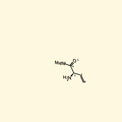 C=C[C@@H](N)C(=O)NC